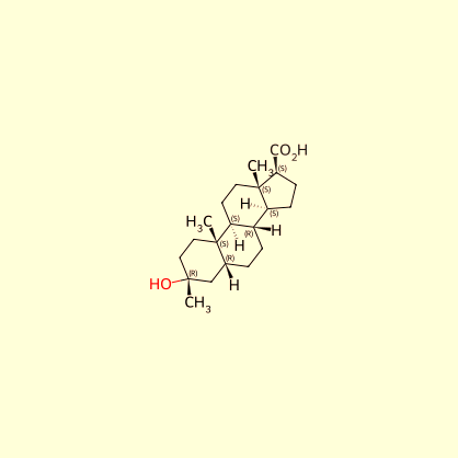 C[C@@]1(O)CC[C@@]2(C)[C@H](CC[C@@H]3[C@@H]2CC[C@]2(C)[C@@H](C(=O)O)CC[C@@H]32)C1